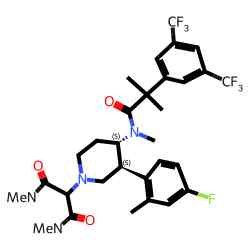 CNC(=O)C(C(=O)NC)N1CC[C@H](N(C)C(=O)C(C)(C)c2cc(C(F)(F)F)cc(C(F)(F)F)c2)[C@@H](c2ccc(F)cc2C)C1